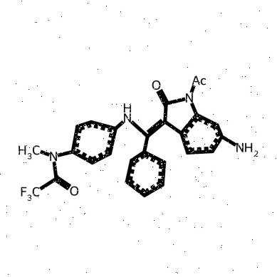 CC(=O)N1C(=O)/C(=C(\Nc2ccc(N(C)C(=O)C(F)(F)F)cc2)c2ccccc2)c2ccc(N)cc21